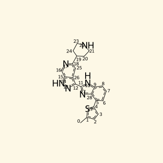 Cc1ccc(-c2cccc3[nH]c(-c4n[nH]c5cnc(C6CCNCC6)cc45)nc23)s1